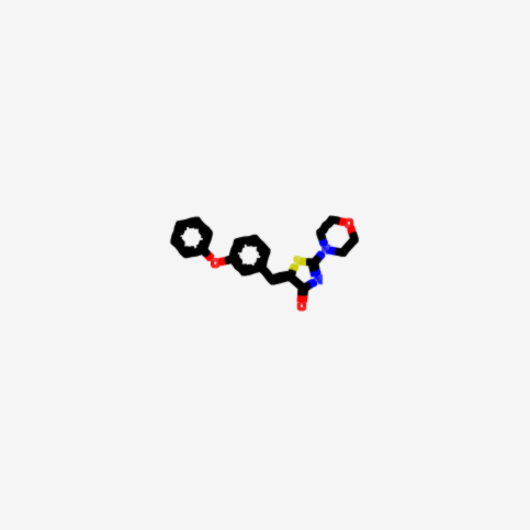 O=C1N=C(N2CCOCC2)SC1=Cc1cccc(Oc2ccccc2)c1